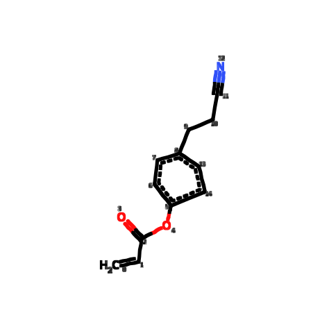 C=CC(=O)Oc1ccc(CCC#N)cc1